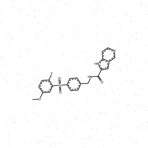 COc1ccc(F)c(S(=O)(=O)c2ccc(CNC(=O)c3cc4cnccc4[nH]3)cc2)c1